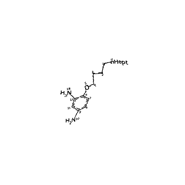 CCCCCCCCCCCOc1ccc(N)cc1N